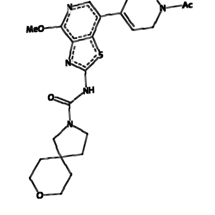 COc1ncc(C2=CCN(C(C)=O)CC2)c2sc(NC(=O)N3CCC4(CCOCC4)C3)nc12